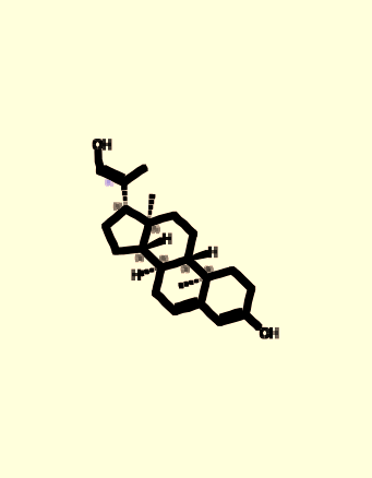 C/C(=C\O)[C@H]1CC[C@H]2[C@@H]3CC=C4C=C(O)CC[C@]4(C)[C@H]3CC[C@]12C